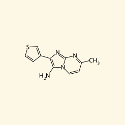 Cc1ccn2c(N)c(-c3ccsc3)nc2n1